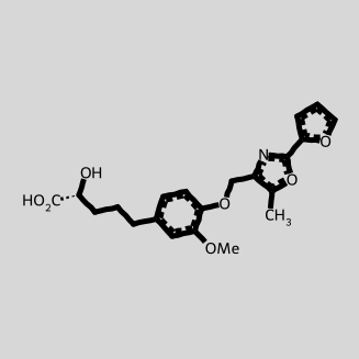 COc1cc(CCC[C@@H](O)C(=O)O)ccc1OCc1nc(-c2ccco2)oc1C